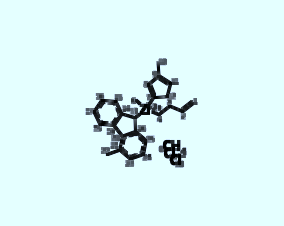 C.C=CC[CH2][Zr+2]([CH3])([C]1=CC(C)=CC1)[CH]1c2ccccc2-c2c(C)cccc21.[Cl-].[Cl-]